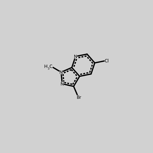 Cn1nc(Br)c2cc(Cl)cnc21